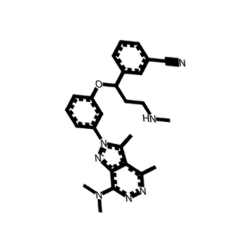 CNCCC(Oc1cccc(-n2nc3c(N(C)C)nnc(C)c3c2C)c1)c1cccc(C#N)c1